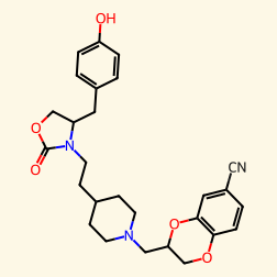 N#Cc1ccc2c(c1)OC(CN1CCC(CCN3C(=O)OCC3Cc3ccc(O)cc3)CC1)CO2